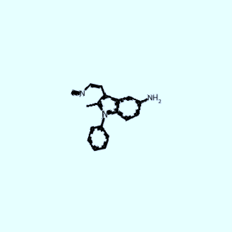 C=N/C=C\c1c(C)n(-c2ccccc2)c2ccc(N)cc12